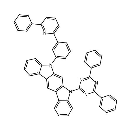 c1ccc(-c2cccc(-c3cccc(-n4c5ccccc5c5cc6c7ccccc7n(-c7nc(-c8ccccc8)nc(-c8ccccc8)n7)c6cc54)c3)n2)cc1